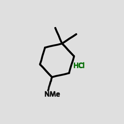 CNC1CCC(C)(C)CC1.Cl